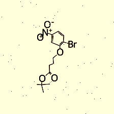 CC(C)(C)OC(=O)CCCOc1cc([N+](=O)[O-])ccc1Br